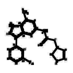 Cc1cc(NC(=O)CC2C=CSC2)cc2c(-c3cccc(F)c3)n[nH]c12